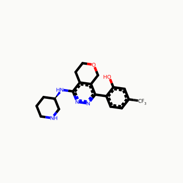 Oc1cc(C(F)(F)F)ccc1-c1nnc(N[C@@H]2CCCNC2)c2c1COCC2